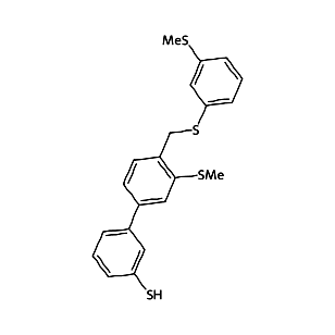 CSc1cccc(SCc2ccc(-c3cccc(S)c3)cc2SC)c1